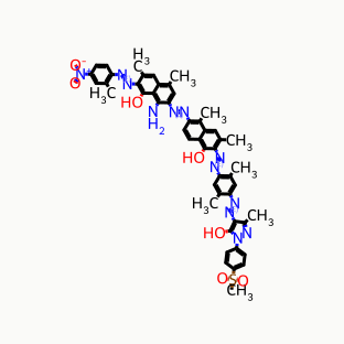 Cc1cc(/N=N/c2c(C)nn(-c3ccc(S(C)(=O)=O)cc3)c2O)c(C)cc1/N=N/c1c(C)cc2c(C)c(/N=N/c3cc(C)c4cc(C)c(/N=N/c5ccc([N+](=O)[O-])cc5C)c(O)c4c3N)ccc2c1O